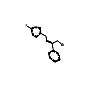 Fc1ccc(C/C=C(\CBr)c2ccccc2)cc1